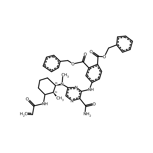 C=CC(=O)NC1CCC[C@@H](N(C)c2cnc(C(N)=O)c(Nc3ccc(C(=O)OCc4ccccc4)c(C(=O)OCc4ccccc4)c3)n2)[C@H]1C